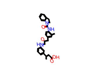 Cc1cc(CC(=O)CNc2cccc(C(C)CC(=O)O)c2)ccc1NC(=O)N1CCc2ccccc21